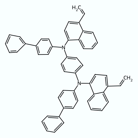 C=Cc1ccc(N(c2ccc(-c3ccccc3)cc2)c2ccc(N(c3ccc(-c4ccccc4)cc3)c3ccc(C=C)c4ccccc34)cc2)c2ccccc12